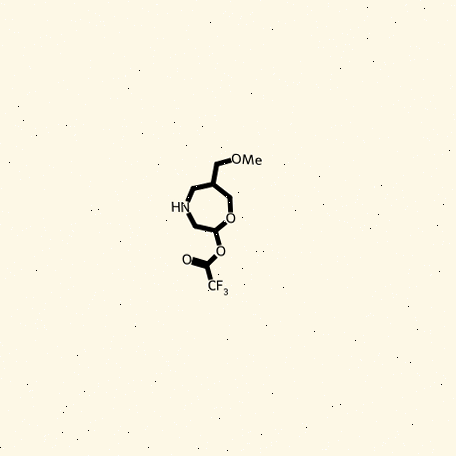 COCC1CNCC(OC(=O)C(F)(F)F)OC1